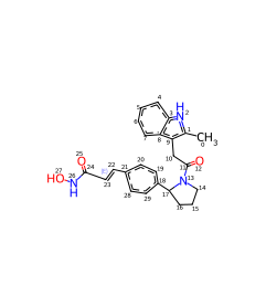 Cc1[nH]c2ccccc2c1CC(=O)N1CCCC1c1ccc(/C=C/C(=O)NO)cc1